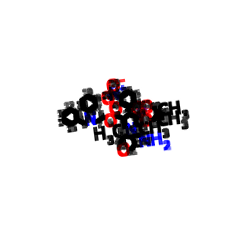 CC1=C(C(=O)OCCN(Cc2ccccc2)c2ccccc2)C(c2cccc([N+](=O)[O-])c2)C(P2(=O)OCC(C)(C)CO2)=C(C)N1C1(CN)CCOCC1